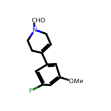 COc1cc(F)cc(C2=CCN(C=O)CC2)c1